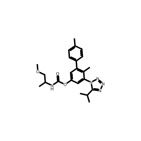 COCC(C)NC(=O)Oc1cc(-c2ccc(C)cc2)c(C)c(-n2nnnc2C(C)C)c1